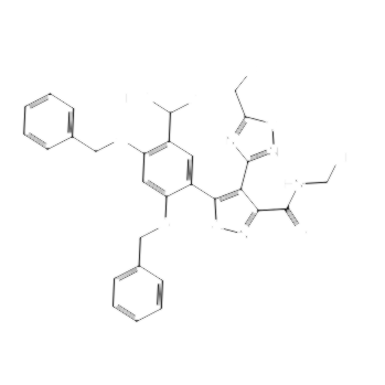 CCNC(=O)c1noc(-c2cc(C(C)C)c(OCc3ccccc3)cc2OCc2ccccc2)c1-c1noc(CO)n1